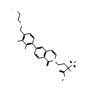 COCCNCc1ccc(-c2ccc3c(=O)n(CCC(C)(C(=O)NO)S(C)(=O)=O)ccc3c2)c(F)c1F